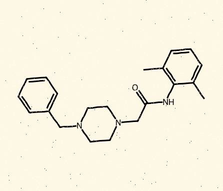 Cc1cccc(C)c1NC(=O)CN1CCN(Cc2ccccc2)CC1